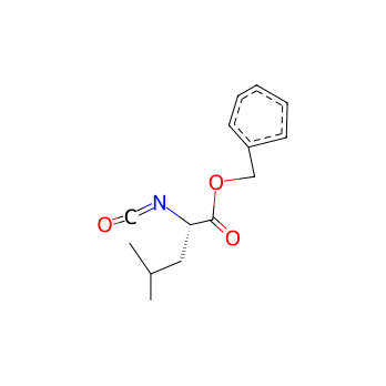 CC(C)C[C@H](N=C=O)C(=O)OCc1ccccc1